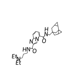 CCN(CC)CCCNC(=O)c1cn2c(C(=O)NCC34CC5CC5C5(CC5C3)C4)cccc2n1